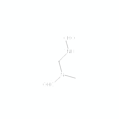 CN(C=O)CNC=O